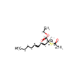 CCCC/C=C/C=C/[C@@](C)(SC(C)=O)C(=O)OCC